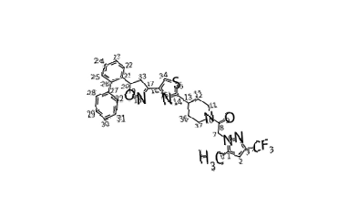 Cc1cc(C(F)(F)F)nn1CC(=O)N1CCC(c2nc(C3=NOC(c4ccccc4-c4ccccc4)C3)cs2)CC1